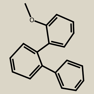 COc1ccccc1-c1ccccc1-c1ccccc1